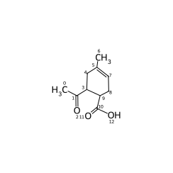 CC(=O)C1CC(C)=CCC1C(=O)O